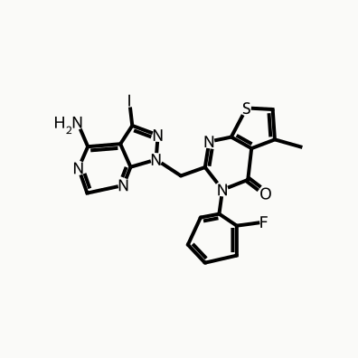 Cc1csc2nc(Cn3nc(I)c4c(N)ncnc43)n(-c3ccccc3F)c(=O)c12